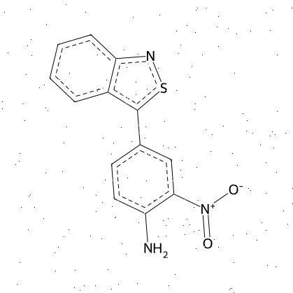 Nc1ccc(-c2snc3ccccc23)cc1[N+](=O)[O-]